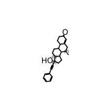 C[C@@H]1CC2=CC(=O)CCC2C2CC[C@@]3(C)C(CC[C@@]3(O)C#Cc3ccccc3)C21